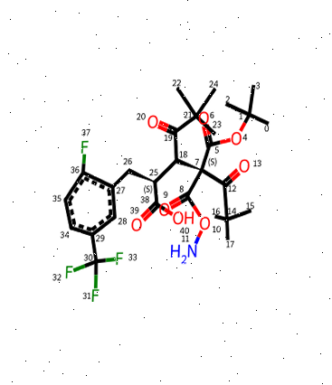 CC(C)(C)OC(=O)[C@@](C(=O)ON)(C(=O)C(C)(C)C)C(C(=O)C(C)(C)C)[C@H](Cc1cc(C(F)(F)F)ccc1F)C(=O)O